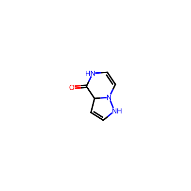 O=C1NC=CN2NC=CC12